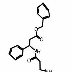 NCCC(=O)NC(CC(=O)OCc1ccccc1)c1ccccc1